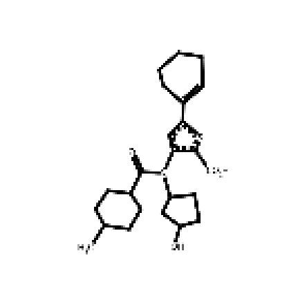 CC1CCC(C(=O)N(c2cc(C3=CCCCC3)sc2C(=O)O)C2CCC(O)C2)CC1